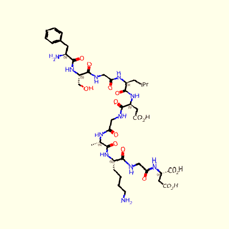 CC(C)C[C@H](NC(=O)CNC(=O)[C@H](CO)NC(=O)[C@@H](N)Cc1ccccc1)C(=O)N[C@@H](CC(=O)O)C(=O)NCC(=O)N[C@@H](C)C(=O)N[C@@H](CCCCN)C(=O)NCC(=O)N[C@@H](CC(=O)O)C(=O)O